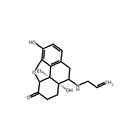 C=CCNC1Cc2ccc(O)c3c2[C@]2(CC)C(O3)C(=O)CC[C@]12O